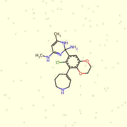 CNC1=NC(N)(c2cc3c(c(C4=CCNCCC4)c2Cl)OCCO3)NC(C)=C1